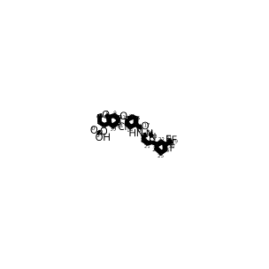 O=C(O)OC1CCOc2cc(Oc3ccc(C(=O)Nc4ccc(-c5cccc(C(F)(F)F)c5)nn4)cc3)c(Cl)cc21